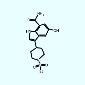 CCS(=O)(=O)N1CCC(c2c[nH]c3c(C(N)=O)cc(O)cc23)CC1